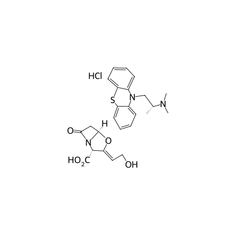 C[C@H](CN1c2ccccc2Sc2ccccc21)N(C)C.Cl.O=C(O)[C@H]1/C(=C/CO)O[C@@H]2CC(=O)N21